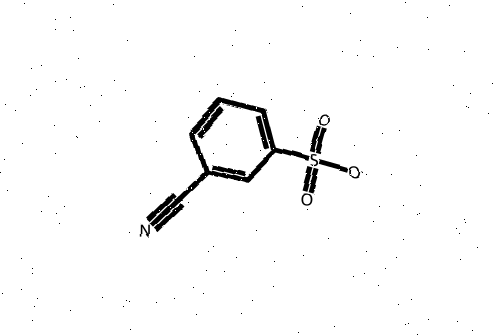 N#Cc1cccc(S([O])(=O)=O)c1